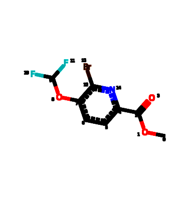 COC(=O)c1ccc(OC(F)F)c(Br)n1